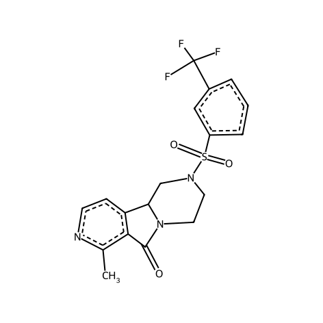 Cc1nccc2c1C(=O)N1CCN(S(=O)(=O)c3cccc(C(F)(F)F)c3)CC21